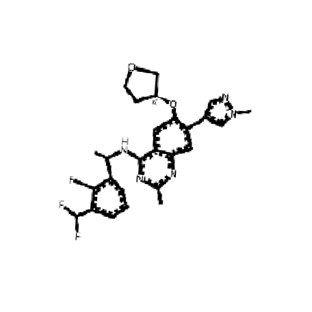 Cc1nc(NC(C)c2cccc(C(F)F)c2F)c2cc(O[C@H]3CCOC3)c(-c3cnn(C)c3)cc2n1